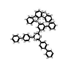 c1ccc(-c2ccc(-c3nc(-c4ccc(-c5ccccc5)cc4)nc(-c4cc(-c5ccccc5)cc(-n5c6ccccc6c6ccc7sc8ccccc8c7c65)c4)n3)cc2)cc1